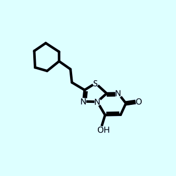 O=c1cc(O)n2nc(CCC3CCCCC3)sc2n1